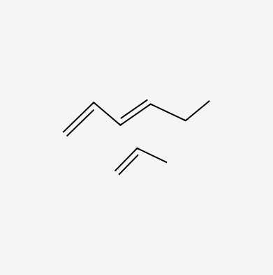 C=CC.C=CC=CCC